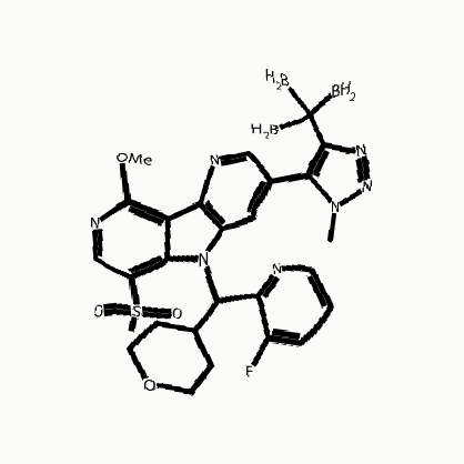 BC(B)(B)c1nnn(C)c1-c1cnc2c3c(OC)ncc(S(C)(=O)=O)c3n(C(c3ncccc3F)C3CCOCC3)c2c1